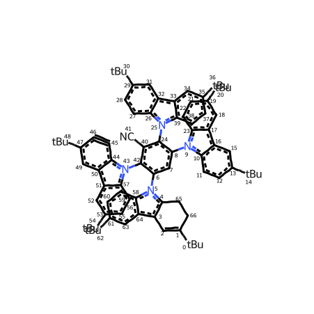 CC(C)(C)C1=Cc2c(n(-c3cc(-n4c5ccc(C(C)(C)C)cc5c5cc(C(C)(C)C)ccc54)c(-n4c5ccc(C(C)(C)C)cc5c5cc(C(C)(C)C)ccc54)c(C#N)c3-n3c4c#cc(C(C)(C)C)cc4c4cc(C(C)(C)C)ccc43)c3ccc(C(C)(C)C)cc23)CC1